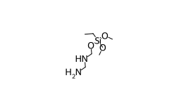 CC[Si](OC)(OC)OCNCN